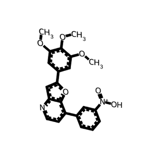 COc1cc(-c2cc3nccc(-c4cccc([N+](=O)O)c4)c3o2)cc(OC)c1OC